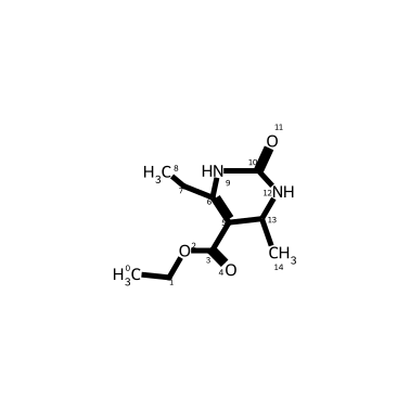 CCOC(=O)C1=C(CC)NC(=O)NC1C